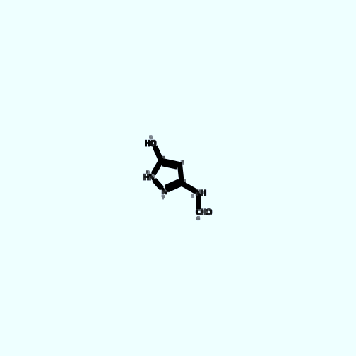 O=CNc1cc(O)[nH]n1